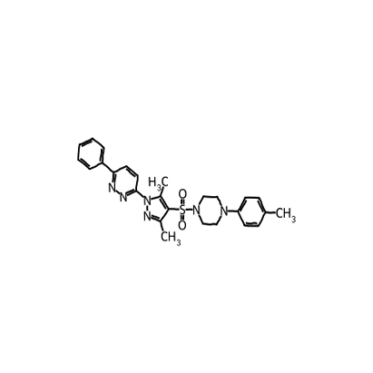 Cc1ccc(N2CCN(S(=O)(=O)c3c(C)nn(-c4ccc(-c5ccccc5)nn4)c3C)CC2)cc1